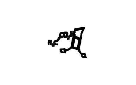 CCOC(C)=O.Clc1c2ccc-2c1Cl